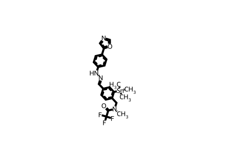 CN(Cc1ccc(C=NNc2ccc(-c3cnco3)cc2)c[c]1[Sn]([CH3])([CH3])[CH3])C(=O)C(F)(F)F